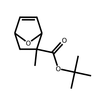 CC(C)(C)OC(=O)C1(C)CC2C=CC1O2